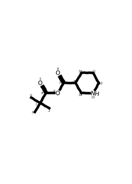 CC(C)(C)C(=O)OC(=O)C1CCCNC1